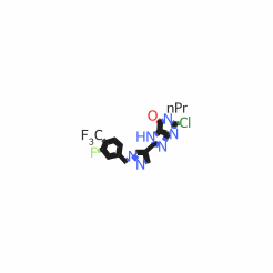 CCCn1c(Cl)nc2nc(-c3cnn(Cc4ccc(C(F)(F)F)c(F)c4)c3)[nH]c2c1=O